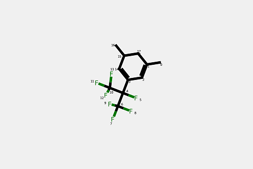 CC1=CC(C(F)(C(F)(F)F)C(F)(F)F)=CC(C)[CH]1